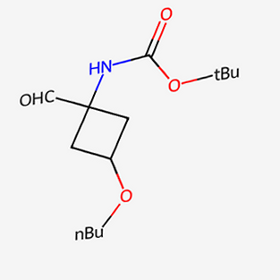 CCCCOC1CC(C=O)(NC(=O)OC(C)(C)C)C1